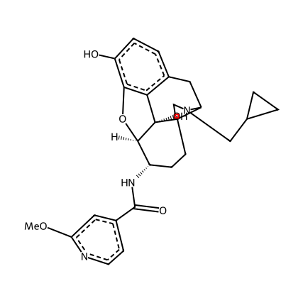 COc1cc(C(=O)N[C@H]2CCC3(O)C4Cc5ccc(O)c6c5[C@]3(CCN4CC3CC3)[C@@H]2O6)ccn1